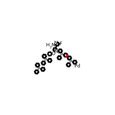 Nc1ncc(F)cc1-c1ccc(OC2CCCCC2)nc1.[Pd].c1ccc(P(c2ccccc2)c2ccccc2)cc1.c1ccc(P(c2ccccc2)c2ccccc2)cc1.c1ccc(P(c2ccccc2)c2ccccc2)cc1.c1ccc(P(c2ccccc2)c2ccccc2)cc1